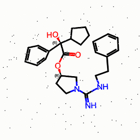 N=C(NCCc1ccccc1)N1CC[C@@H](OC(=O)[C@](O)(c2ccccc2)C2CCCC2)C1